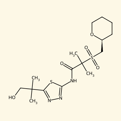 CC(C)(CO)c1nnc(NC(=O)C(C)(C)S(=O)(=O)C[C@@H]2CCCCO2)s1